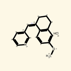 COc1ccc2c(c1)CCC/C2=C/c1cccnc1.Cl